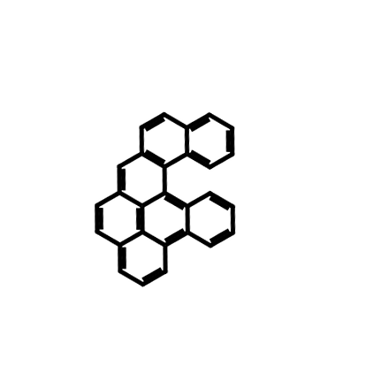 c1ccc2c(c1)ccc1cc3ccc4cccc5c6ccccc6c(c12)c3c45